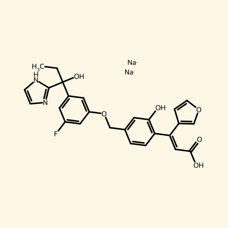 CCC(O)(c1cc(F)cc(OCc2ccc(C(=CC(=O)O)c3ccoc3)c(O)c2)c1)c1ncc[nH]1.[Na].[Na]